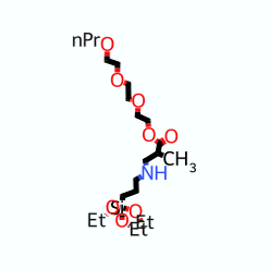 CCCOCCOCCOCCOC(=O)C(C)CNCCC[Si](OCC)(OCC)OCC